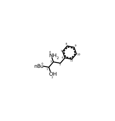 CCCCC(O)C(N)Cc1ccccc1